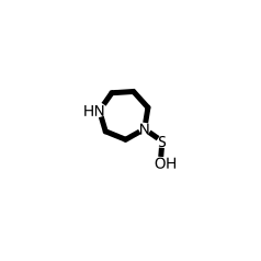 OSN1CCCNCC1